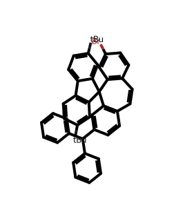 CC(C)(C)c1ccc2c(c1)C1(c3cc(Br)ccc3C=Cc3ccc(C(c4ccccc4)c4ccccc4)cc31)c1cc(C(C)(C)C)ccc1-2